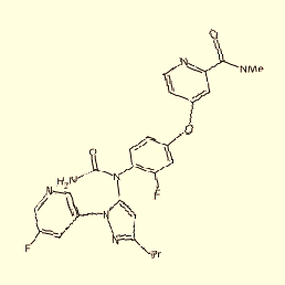 CNC(=O)c1cc(Oc2ccc(N(C(N)=O)c3cc(C(C)C)nn3-c3cncc(F)c3)c(F)c2)ccn1